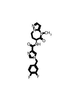 CN1C(=O)[C@@H](NC(=O)c2cn(Cc3ccc(F)c(F)c3)cn2)CCn2nccc21